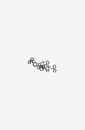 COC(=O)CCNC(=O)C1O[PH](O)(Oc2ccc([N+](=O)[O-])cc2)OCC1(C)C